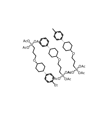 CC(=O)O[Si](CCCO[C@H]1CC[C@H](c2ccc(C)cc2)CC1)(OC(C)=O)OC(C)=O.CC(=O)O[Si](CCCO[C@H]1CC[C@H](c2ccccc2)CC1)(OC(C)=O)OC(C)=O.CCc1ccc([C@H]2CC[C@H](OCCC[Si](OC(C)=O)(OC(C)=O)OC(C)=O)CC2)cc1